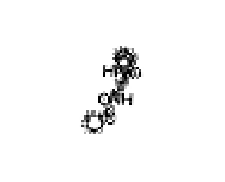 O=C(CCC(=O)C1CCCCCCCC1)NCCCCC1NC2C3CCCCCC(CC3)C2C1=O